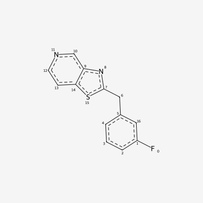 Fc1cccc(Cc2nc3cnccc3s2)c1